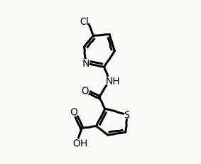 O=C(O)c1ccsc1C(=O)Nc1ccc(Cl)cn1